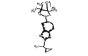 CC(C1CC1)n1nc2ccc(B3OC(C)(C)C(C)(C)O3)cc2n1